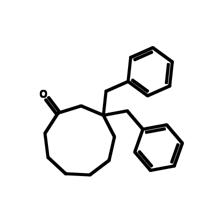 O=C1CCCCCCC(Cc2ccccc2)(Cc2ccccc2)C1